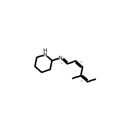 C\C=C(C)/C=C\C=N\C1CCCCN1